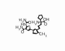 Cc1ccc(-c2cc(C(N)=O)c(NC(N)=O)s2)cc1C=CC[C@@](N)(C(=O)O)C1CCCC1